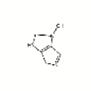 ON1CNC2=C1C=NC2